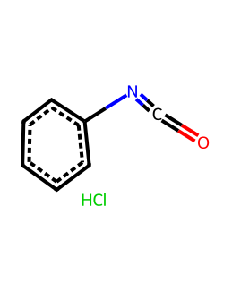 Cl.O=C=Nc1ccccc1